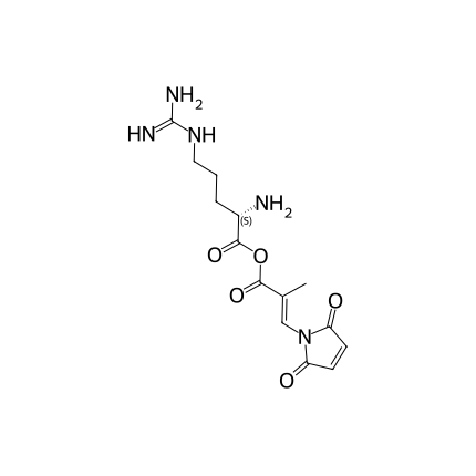 CC(=CN1C(=O)C=CC1=O)C(=O)OC(=O)[C@@H](N)CCCNC(=N)N